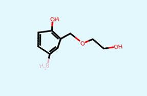 Bc1ccc(O)c(COCCO)c1